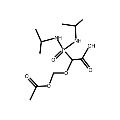 CC(=O)OCOC(C(=O)O)P(=O)(NC(C)C)NC(C)C